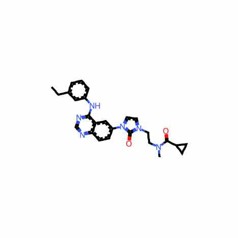 CCc1cccc(Nc2ncnc3ccc(-n4ccn(CCN(C)C(=O)C5CC5)c4=O)cc23)c1